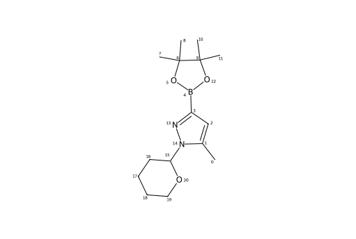 Cc1cc(B2OC(C)(C)C(C)(C)O2)nn1C1CCCCO1